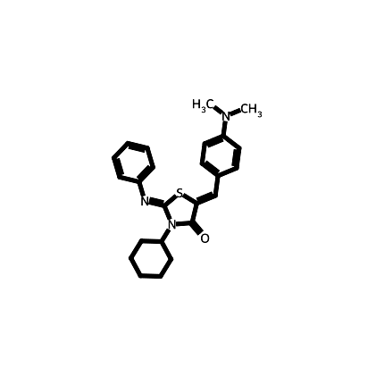 CN(C)c1ccc(/C=C2\S/C(=N\c3ccccc3)N(C3CCCCC3)C2=O)cc1